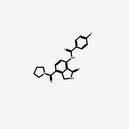 O=C(Nc1ccc(C(=O)N2CCCC2)c2c1C(=O)NC2)c1ccc(F)cc1